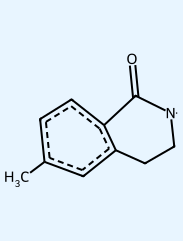 Cc1ccc2c(c1)CC[N]C2=O